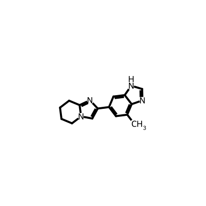 Cc1cc(-c2cn3c(n2)CCCC3)cc2[nH]cnc12